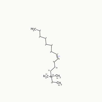 CCCCCCC/C=C\CCC[N+](C)(C)CC